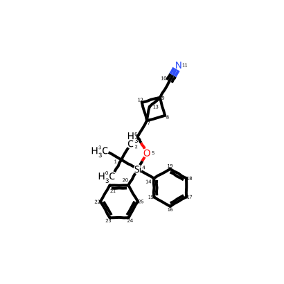 CC(C)(C)[Si](OCC12CC(C#N)(C1)C2)(c1ccccc1)c1ccccc1